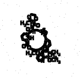 CCn1c(-c2cccnc2[C@H](C)OC)c2c3cc(ccc31)-c1csc(n1)C[C@H](NC(=O)[C@@H]1OCCO[C@@H]1C)C(=O)N1CCC[C@H](N1)C(=O)OCC(C)(C)C2